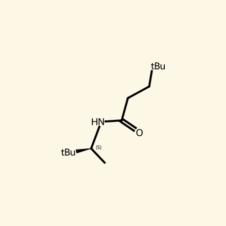 C[C@H](NC(=O)CCC(C)(C)C)C(C)(C)C